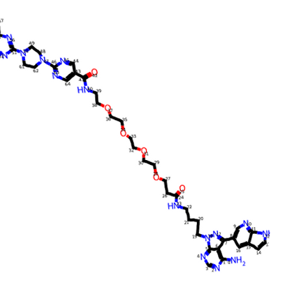 Nc1ncnc2c1c(-c1cnc3[nH]ccc3c1)nn2CCCCNC(=O)CCOCCOCCOCCOCCNC(=O)c1cnc(N2CCN(c3ncc4c(n3)CCNC4)CC2)nc1